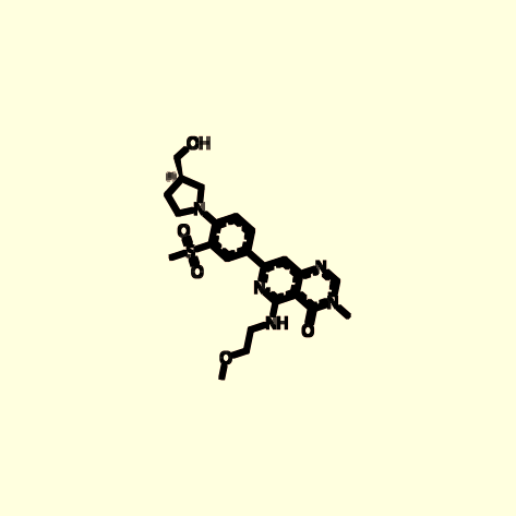 COCCNc1nc(-c2ccc(N3CC[C@@H](CO)C3)c(S(C)(=O)=O)c2)cc2ncn(C)c(=O)c12